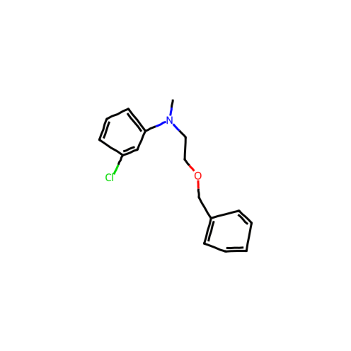 CN(CCOCc1ccccc1)c1cccc(Cl)c1